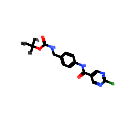 CCC(C)(C)OC(=O)NCc1ccc(NC(=O)c2cnc(Cl)nc2)cc1